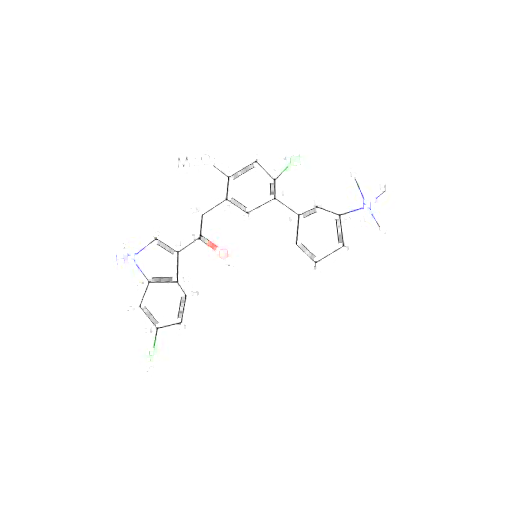 COc1cc(Cl)c(-c2cccc([N+](C)(C)C)c2)cc1CC(=O)c1c[nH]c2cc(F)ccc12